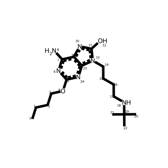 CCCCOc1nc(N)c2nc(O)n(CCCCNC(C)(C)C)c2n1